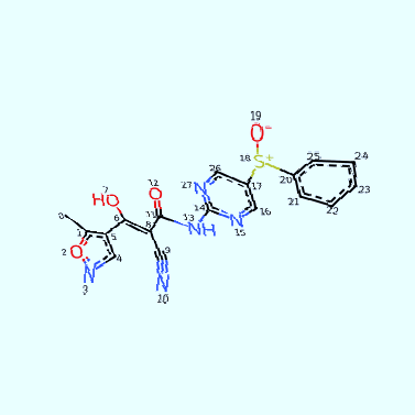 Cc1oncc1/C(O)=C(\C#N)C(=O)Nc1ncc([S+]([O-])c2ccccc2)cn1